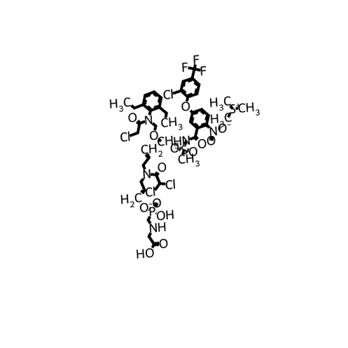 C=CCN(CC=C)C(=O)C(Cl)Cl.CCc1cccc(CC)c1N(COC)C(=O)CCl.CS(=O)(=O)NC(=O)c1cc(Oc2ccc(C(F)(F)F)cc2Cl)ccc1[N+](=O)[O-].C[S+](C)C.O=C(O)CNCP(=O)([O-])O